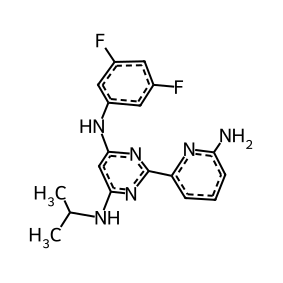 CC(C)Nc1cc(Nc2cc(F)cc(F)c2)nc(-c2cccc(N)n2)n1